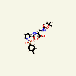 Cc1ccc(S(=O)(=O)N2CCC[C@H]2C(=O)N[C@@H](CNC(=O)OC(C)(C)C)C(=O)O)cc1